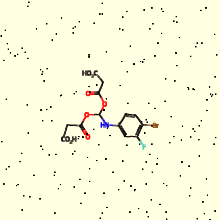 O=C(O)CC(=O)OC(Nc1ccc(Br)c(F)c1)OC(=O)CC(=O)O